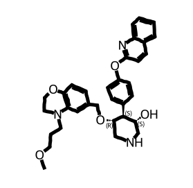 COCCCN1CCOc2ccc(CO[C@H]3CNC[C@@H](O)[C@@H]3c3ccc(Oc4ccc5ccccc5n4)cc3)cc21